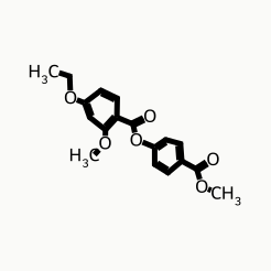 CCOc1ccc(C(=O)Oc2ccc(C(=O)OC)cc2)c(OC)c1